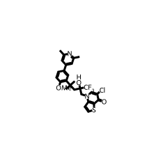 COc1ccc(-c2cc(C)nc(C)c2)cc1C(C)(C)CC(O)(Cn1cc(Cl)c(=O)c2sccc21)C(F)(F)F